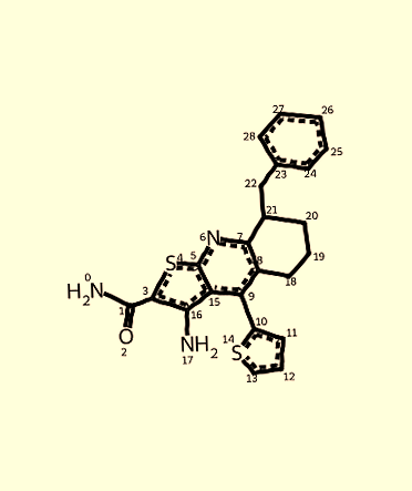 NC(=O)c1sc2nc3c(c(-c4cccs4)c2c1N)CCCC3Cc1ccccc1